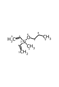 C=C[Si](C)(C=C)OCCC